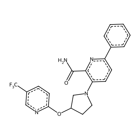 NC(=O)c1nc(-c2ccccc2)ccc1N1CCC(Oc2ccc(C(F)(F)F)cn2)C1